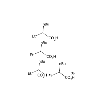 CCCCC(CC)C(=O)O.CCCCC(CC)C(=O)O.CCCCC(CC)C(=O)O.CCCCC(CC)C(=O)O.[Zr]